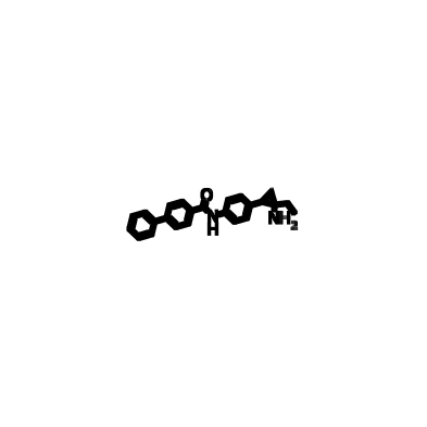 CCC1(N)CC1c1ccc(NC(=O)c2ccc(-c3ccccc3)cc2)cc1